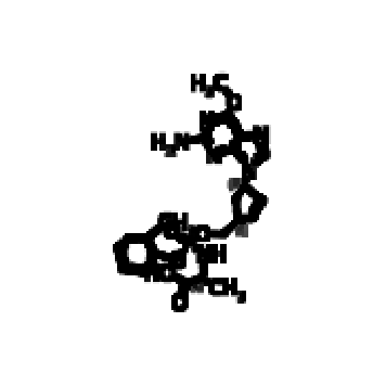 COc1nc(N)nc2c1ncn2[C@H]1C=C[C@@H](COP(=O)(N[C@@H](C)C(=O)O)Oc2ccccc2C)C1